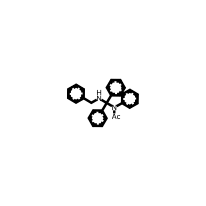 CC(=O)N(c1ccccc1)C(NCc1ccccc1)(c1ccccc1)c1ccccc1